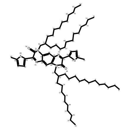 CCCCCCCCCCCCC(CCCCCCCCCC)Cn1c(=O)c(-c2ccc(C)s2)nc2cc3c(cc21)nc(-c1ccc(C)s1)c(=O)n3CC(CCCCCCCCCC)CCCCCCCCCCCC